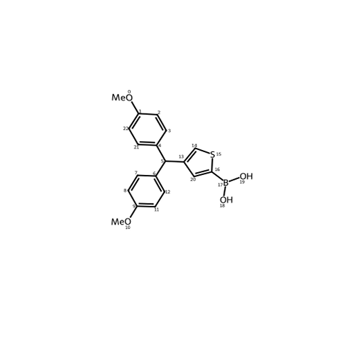 COc1ccc(C(c2ccc(OC)cc2)c2csc(B(O)O)c2)cc1